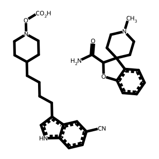 CN1CCC2(CC1)c1ccccc1OC2C(N)=O.N#Cc1ccc2[nH]cc(CCCCC3CCN(OC(=O)O)CC3)c2c1